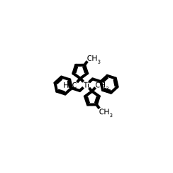 CC1=C[C](C)([Ti]([CH2]c2ccccc2)([CH2]c2ccccc2)[C]2(C)C=CC(C)=C2)C=C1